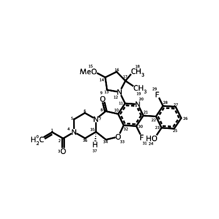 C=CC(=O)N1CCN2C(=O)c3c(N4CC(OC)CC4(C)C)nc(-c4c(O)cccc4F)c(F)c3OC[C@H]2C1